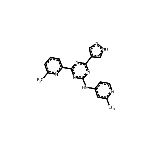 FC(F)(F)c1cc(Nc2nc(-c3cn[nH]c3)nc(-c3cccc(C(F)(F)F)n3)n2)ccn1